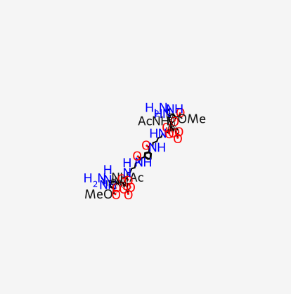 COC(=O)C1=C[C@H](NC(=N)N)[C@@H](NC(C)=O)[C@H]([C@H](OC(=O)NCCCCNC(=O)c2cccc(C(=O)NCCCCNC(=O)O[C@@H]([C@@H]3OC(C(=O)OC)=C[C@H](NC(=N)N)[C@H]3NC(C)=O)[C@H]3COC(=O)O3)c2)[C@H]2COC(=O)O2)O1